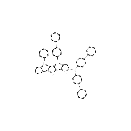 c1ccc(-c2ccc(N(c3ccc(-c4ccccc4)cc3)c3cc4c(s3)c3sc5c6sccc6n(-c6ccccc6)c5c3n4-c3ccc(-c4ccccc4)cc3)cc2)cc1